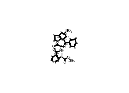 CC(C)(C)OC(=O)Nc1cnccc1C(=O)N[C@H]1N=C(c2ccccc2)c2cc([N+](=O)[O-])cc3c2N(CC3)C1=O